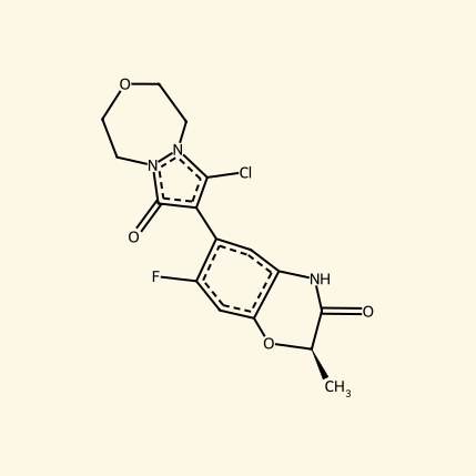 C[C@H]1Oc2cc(F)c(-c3c(Cl)n4n(c3=O)CCOCC4)cc2NC1=O